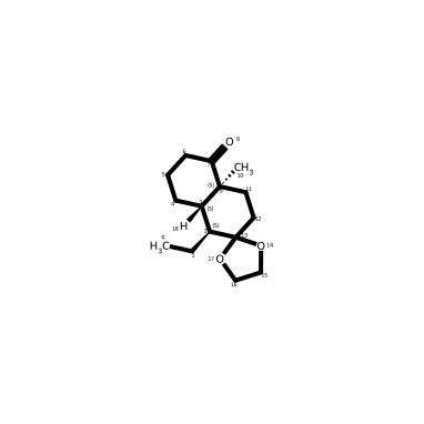 CC[C@H]1[C@@H]2CCCC(=O)[C@@]2(C)CCC12OCCO2